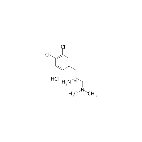 CN(C)C[C@H](N)Cc1ccc(Cl)c(Cl)c1.Cl